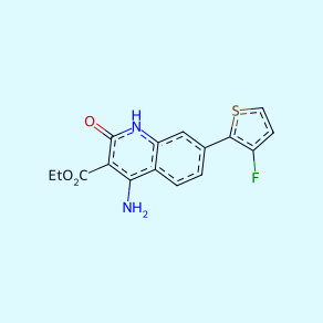 CCOC(=O)c1c(N)c2ccc(-c3sccc3F)cc2[nH]c1=O